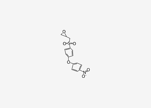 O=[N+]([O-])c1ccc(Oc2ccc(S(=O)(=O)CC3CO3)cc2)cc1